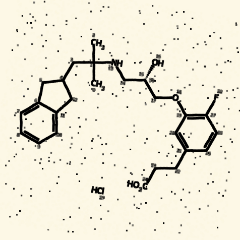 CC(C)(CC1Cc2ccccc2C1)NC[C@H](O)COc1cc(CCC(=O)O)ccc1F.Cl